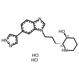 Cl.Cl.O[C@H]1CCCN[C@@H]1CCCn1cnc2ccc(-c3cn[nH]c3)cc21